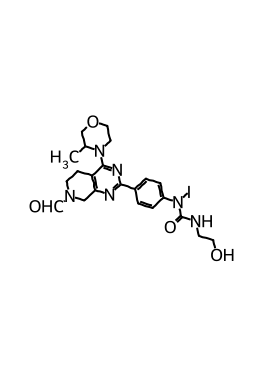 CC1COCCN1c1nc(-c2ccc(N(I)C(=O)NCCO)cc2)nc2c1CCN(C=O)C2